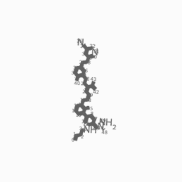 C=CCCNCC(/C=C\C(=C/C)c1cccc(C/C=C\C=C(\CCc2cc(CCc3cncc(C#N)c3)ccc2C)C(=C)C)c1C)=C/N(C)N